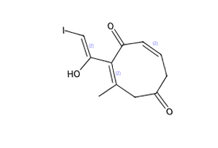 C/C1=C(\C(O)=C\I)C(=O)/C=C\CC(=O)C1